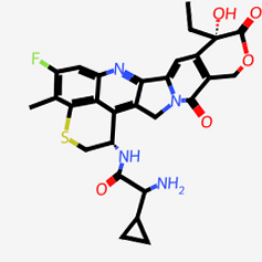 CC[C@@]1(O)C(=O)OCc2c1cc1n(c2=O)Cc2c-1nc1cc(F)c(C)c3c1c2[C@H](NC(=O)C(N)C1CC1)CS3